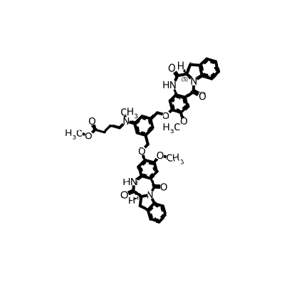 COC(=O)CCCN(C)c1cc(COc2cc3c(cc2OC)C(=O)N2c4ccccc4C[C@H]2C(=O)N3)cc(COc2cc3c(cc2OC)C(=O)N2c4ccccc4C[C@H]2C(=O)N3)c1